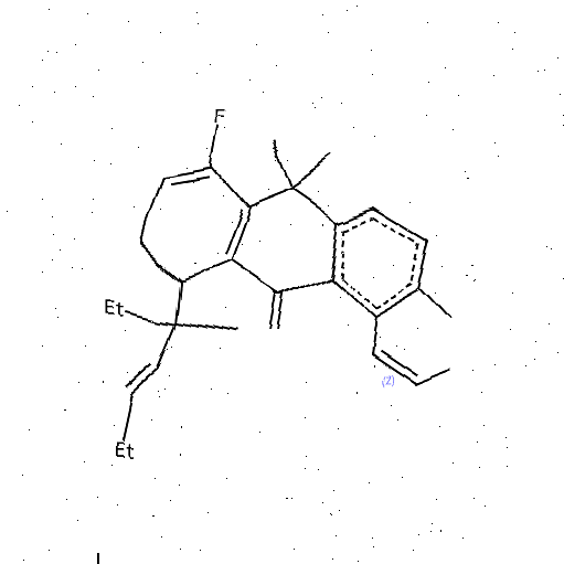 C=C1C2=C(C(F)=CCC2C(C)(C=CCC)CC)C(C)(C)c2ccc(C)c(/C=C\C)c21